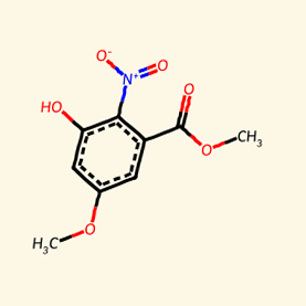 COC(=O)c1cc(OC)cc(O)c1[N+](=O)[O-]